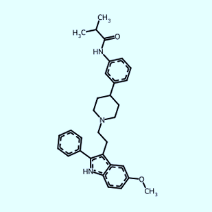 COc1ccc2[nH]c(-c3ccccc3)c(CCN3CCC(c4cccc(NC(=O)C(C)C)c4)CC3)c2c1